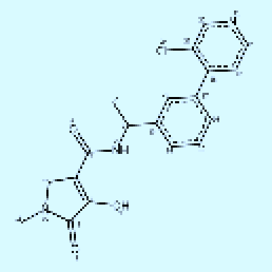 CC(NC(=O)C1=C(O)C(=O)N(C)C1)c1cccc(-c2ccncc2Cl)c1